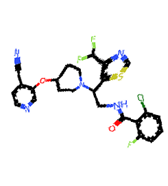 N#Cc1ccncc1OC1CCN(C(CNC(=O)c2c(F)cccc2Cl)c2scnc2C(F)F)CC1